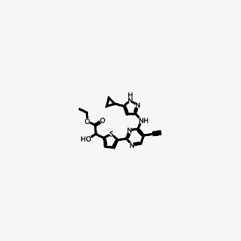 C#Cc1cnc(-c2ccc(C(O)C(=O)OCC)s2)nc1Nc1cc(C2CC2)[nH]n1